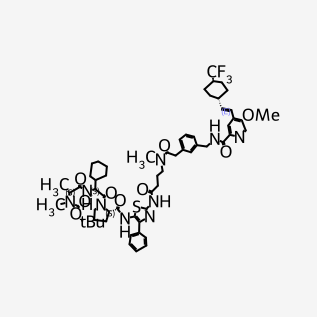 COc1cnc(C(=O)NCc2cccc(CC(=O)N(C)CCCC(=O)Nc3nc(-c4ccccc4)c(NC(=O)[C@@H]4CCCN4C(=O)[C@@H](NC(=O)[C@H](C)N(C)C(=O)OC(C)(C)C)C4CCCCC4)s3)c2)cc1/C=C/[C@H]1CC[C@H](C(F)(F)F)CC1